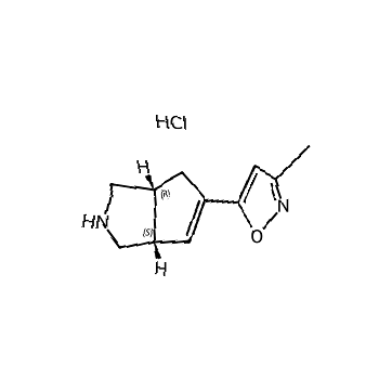 Cc1cc(C2=C[C@@H]3CNC[C@@H]3C2)on1.Cl